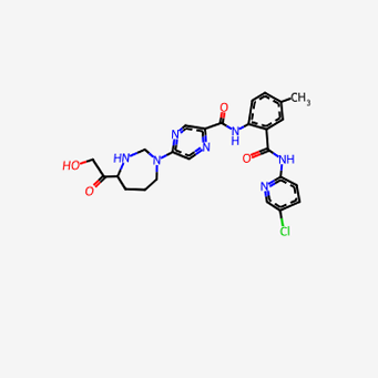 Cc1ccc(NC(=O)c2cnc(N3CCCC(C(=O)CO)NC3)cn2)c(C(=O)Nc2ccc(Cl)cn2)c1